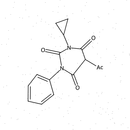 CC(=O)C1C(=O)N(c2ccccc2)C(=O)N(C2CC2)C1=O